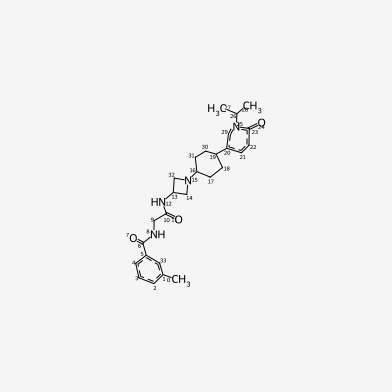 Cc1cccc(C(=O)NCC(=O)NC2CN(C3CCC(c4ccc(=O)n(C(C)C)c4)CC3)C2)c1